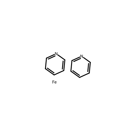 [Fe].c1ccncc1.c1ccncc1